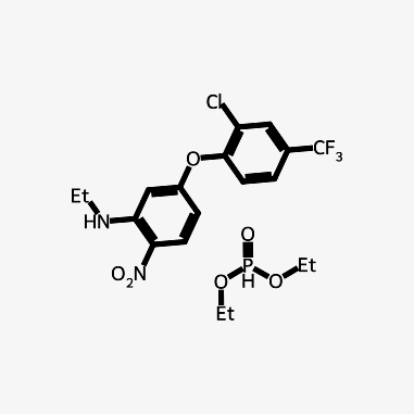 CCNc1cc(Oc2ccc(C(F)(F)F)cc2Cl)ccc1[N+](=O)[O-].CCO[PH](=O)OCC